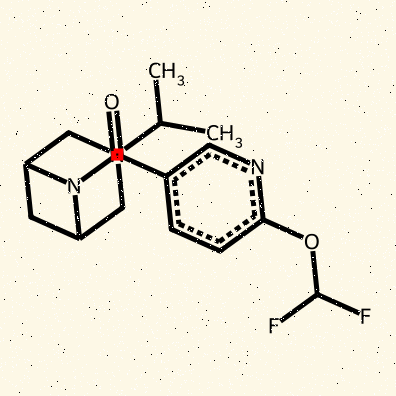 CC(C)N1CC2CC(C1)N2C(=O)c1ccc(OC(F)F)nc1